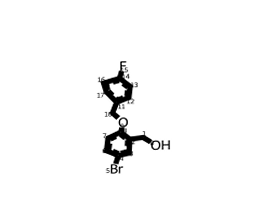 OCc1cc(Br)ccc1OCc1ccc(F)cc1